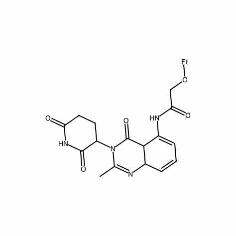 CCOCC(=O)NC1=CC=CC2N=C(C)N(C3CCC(=O)NC3=O)C(=O)C12